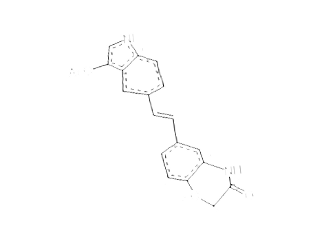 CC(=O)Oc1c[nH]c2ccc(/C=C/c3ccc4c(c3)NC(=O)CO4)cc12